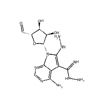 N=C(NN)c1c(NN)n([C@@H]2O[C@H](C=O)[C@@H](O)[C@H]2O)c2ncnc(N)c12